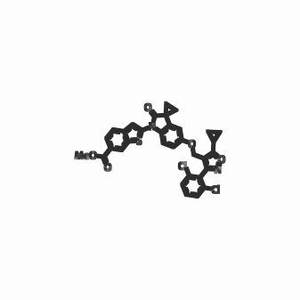 COC(=O)c1ccc2cc(N3C(=O)C4(CC4)c4cc(OCc5c(-c6c(Cl)cccc6Cl)noc5C5CC5)ccc43)sc2c1